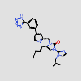 CCCCc1cn(-c2nccn2CC(C)C)c(=O)n1Cc1cc(-c2cccc(-c3nnn[nH]3)c2)ccn1